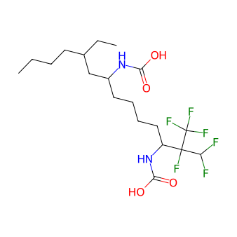 CCCCC(CC)CC(CCCCC(NC(=O)O)C(F)(C(F)F)C(F)(F)F)NC(=O)O